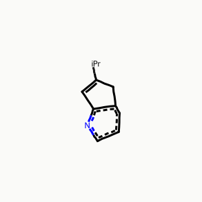 CC(C)C1=Cc2ncccc2C1